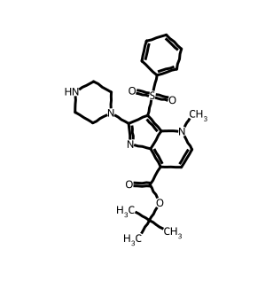 Cn1ccc(C(=O)OC(C)(C)C)c2nc(N3CCNCC3)c(S(=O)(=O)c3ccccc3)c1-2